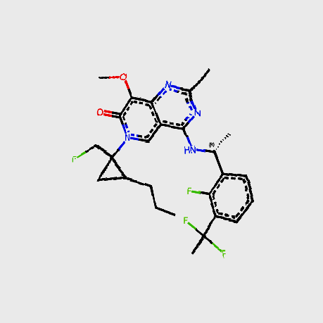 CCCC1CC1(CF)n1cc2c(N[C@H](C)c3cccc(C(C)(F)F)c3F)nc(C)nc2c(OC)c1=O